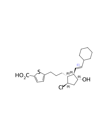 O=C(O)c1ccc(CCC[C@@H]2[C@@H](/C=C/C3CCCCC3)[C@H](O)C[C@H]2Cl)s1